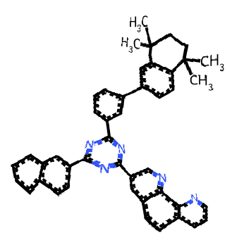 CC1(C)CCC(C)(C)c2cc(-c3cccc(-c4nc(-c5ccc6ccccc6c5)nc(-c5cnc6c(ccc7cccnc76)c5)n4)c3)ccc21